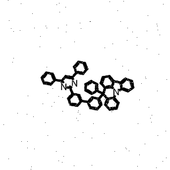 c1ccc(-c2cc(-c3ccccc3)nc(-c3cccc(-c4cccc(C5(c6ccccc6)c6ccccc6-n6c7ccccc7c7cccc5c76)c4)c3)n2)cc1